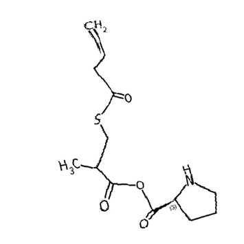 C=CCC(=O)SCC(C)C(=O)OC(=O)[C@@H]1CCCN1